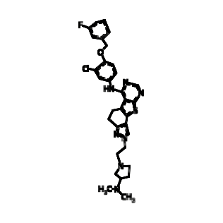 CN(C)C1CCN(CCn2cc3c(n2)CCc2c-3sc3ncnc(Nc4ccc(OCc5cccc(F)c5)c(Cl)c4)c23)C1